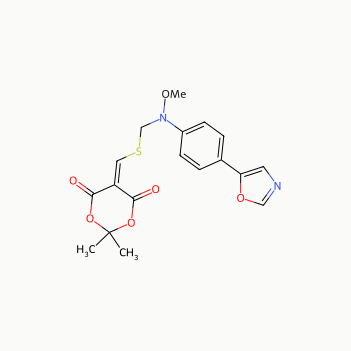 CON(CSC=C1C(=O)OC(C)(C)OC1=O)c1ccc(-c2cnco2)cc1